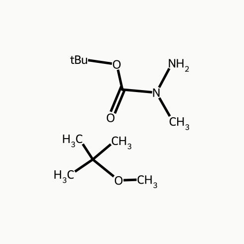 CN(N)C(=O)OC(C)(C)C.COC(C)(C)C